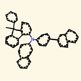 CC1(c2ccccc2)c2ccccc2-c2c(N(c3ccc(-c4ccc5ccccc5c4)cc3)c3ccc4ccccc4c3)cccc21